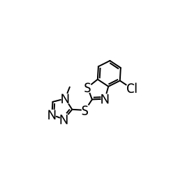 Cn1cnnc1Sc1nc2c(Cl)cccc2s1